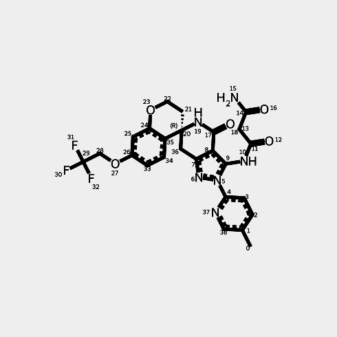 Cc1ccc(-n2nc3c(c2NC(=O)CC(N)=O)C(=O)N[C@@]2(CCOc4cc(OCC(F)(F)F)ccc42)C3)nc1